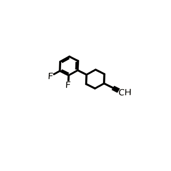 C#CC1CCC(c2cccc(F)c2F)CC1